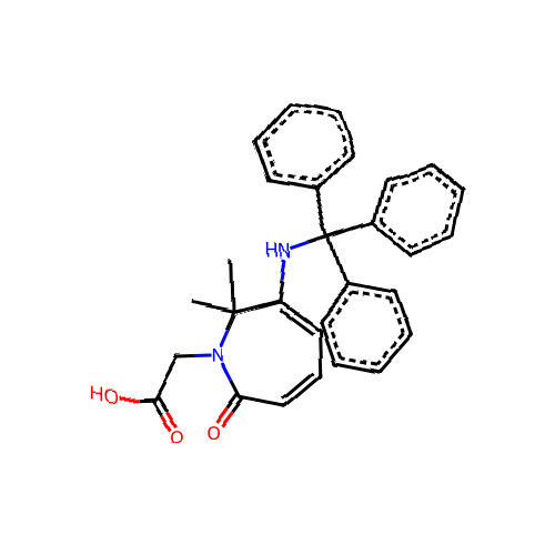 CC1(C)C(NC(c2ccccc2)(c2ccccc2)c2ccccc2)=CC=CC(=O)N1CC(=O)O